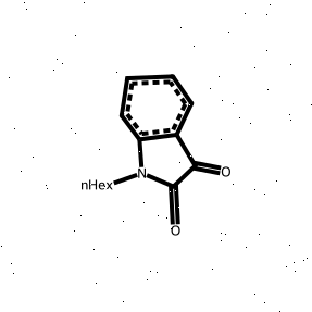 CCCCCCN1C(=O)C(=O)c2ccccc21